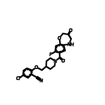 N#Cc1cc(Cl)ccc1OCC1CCN(C(=O)c2cc3c(cc2F)OCC(=O)CN3)CC1